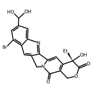 CC[C@@]1(O)C(=O)OCc2c1cc1n(c2=O)Cc2cc3c(Br)cc(C(O)O)cc3nc2-1